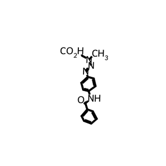 CN(CC(=O)O)/N=N/c1ccc(NC(=O)c2ccccc2)cc1